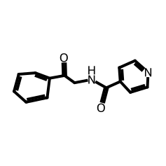 O=C(CNC(=O)c1ccncc1)c1ccccc1